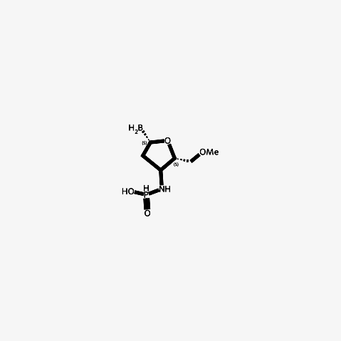 B[C@H]1CC(N[PH](=O)O)[C@@H](COC)O1